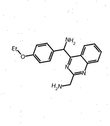 CCOc1ccc(C(N)c2nc(CN)nc3ccccc23)cc1